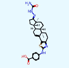 C[C@]12CCc3nc(Nc4ccc(C(=O)O)cc4)sc3C1=CC[C@@H]1[C@@H]2CC[C@]2(C)/C(=N/NC(N)=O)CC[C@@H]12